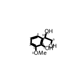 COc1ccccc1O.OCCO